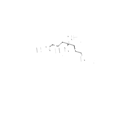 NCCCC(N)(N)CCCN